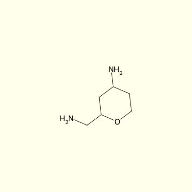 NCC1CC(N)CCO1